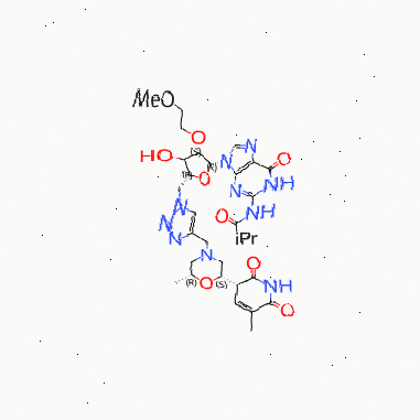 COCCO[C@H]1C(O)[C@@H](Cn2cc(CN3C[C@@H](C)O[C@@H](C4C=C(C)C(=O)NC4=O)C3)nn2)O[C@H]1n1cnc2c(=O)[nH]c(NC(=O)C(C)C)nc21